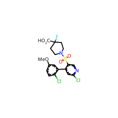 COc1ccc(Cl)c(-c2cc(Cl)ncc2S(=O)(=O)N2CCC(F)(C(=O)O)CC2)c1